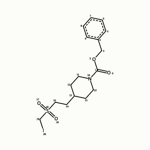 O=C(OCc1ccccc1)N1CCC(CCS(=O)(=O)CI)CC1